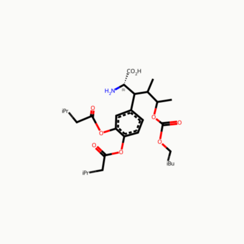 CCC(C)COC(=O)OC(C)C(C)C(c1ccc(OC(=O)CC(C)C)c(OC(=O)CC(C)C)c1)[C@H](N)C(=O)O